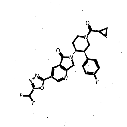 O=C(C1CC1)N1CC[C@@H](N2Cc3ncc(-c4nnc(C(F)F)o4)cc3C2=O)[C@H](c2ccc(F)cc2)C1